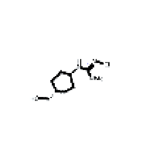 C/N=C(\NC)N[C@H]1CC[C@H](CO)CC1